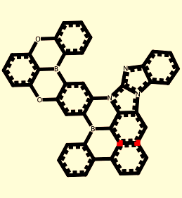 c1ccc(-c2ccccc2B2c3cc4c(cc3-n3c5c2cccc5n2c5ccccc5nc32)B2c3ccccc3Oc3cccc(c32)O4)cc1